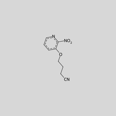 N#CCCCOc1cccnc1[N+](=O)[O-]